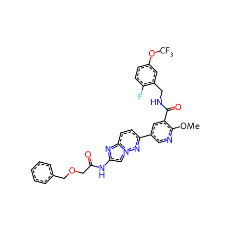 COc1ncc(-c2ccc3nc(NC(=O)COCc4ccccc4)cn3n2)cc1C(=O)NCc1cc(OC(F)(F)F)ccc1F